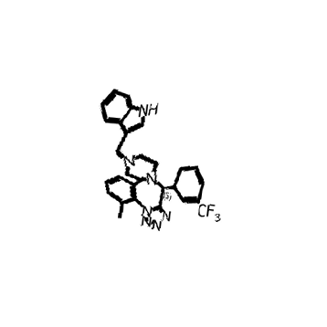 Cc1cccc(C)c1-n1nnnc1[C@H](C1C=C(C(F)(F)F)C=CC1)N1CCN(Cc2c[nH]c3ccccc23)CC1